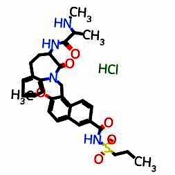 CCCS(=O)(=O)NC(=O)c1ccc2c(CN3C(=O)C(NC(=O)C(C)NC)CCc4ccccc43)c(OC)ccc2c1.Cl